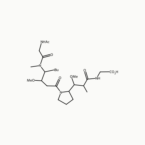 CCC(C)C(C(CC(=O)N1CCCC1C(OC)C(C)C(=O)NCC(=O)O)OC)N(C)C(=O)CNC(C)=O